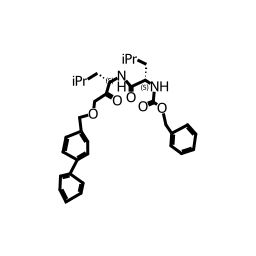 CC(C)C[C@H](NC(=O)[C@H](CC(C)C)NC(=O)OCc1ccccc1)C(=O)COCc1ccc(-c2ccccc2)cc1